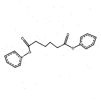 O=C(CCCCC(=O)O[n+]1ccccc1)O[n+]1ccccc1